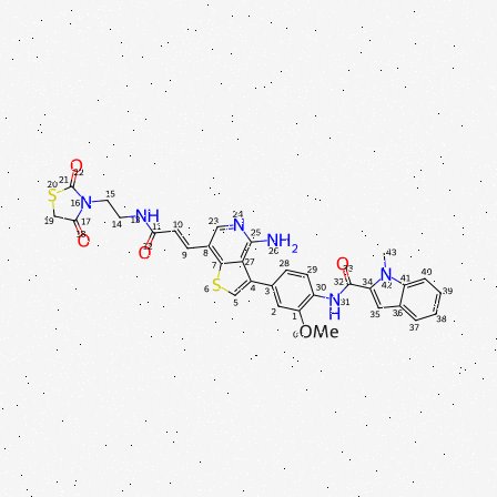 COc1cc(-c2csc3c(C=CC(=O)NCCN4C(=O)CSC4=O)cnc(N)c23)ccc1NC(=O)c1cc2ccccc2n1C